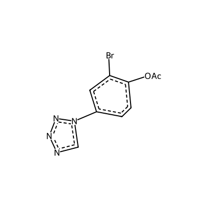 CC(=O)Oc1ccc(-n2cnnn2)cc1Br